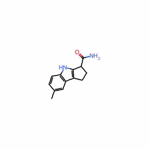 Cc1ccc2[nH]c3c(c2c1)CCC3C(N)=O